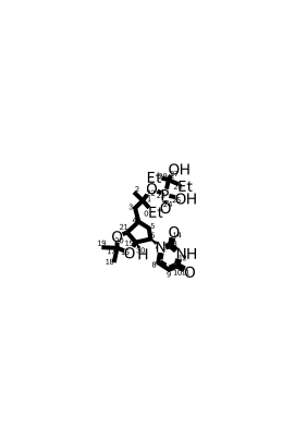 CCC(C)(CC1C[C@@H](n2ccc(=O)[nH]c2=O)[C@@H]2OC(C)(C)OC12)OP(=O)(O)C(O)(CC)CC